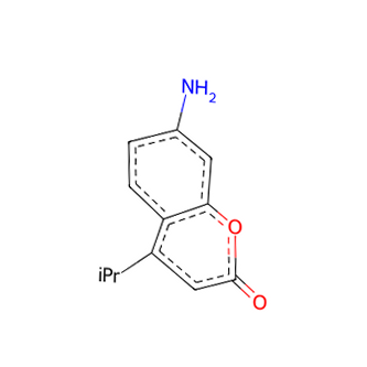 CC(C)c1cc(=O)oc2cc(N)ccc12